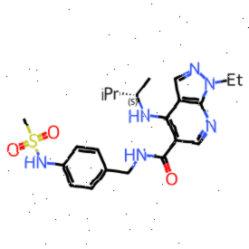 CCn1ncc2c(N[C@@H](C)C(C)C)c(C(=O)NCc3ccc(NS(C)(=O)=O)cc3)cnc21